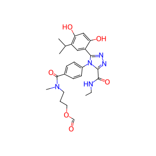 CCNC(=O)c1nnc(-c2cc(C(C)C)c(O)cc2O)n1-c1ccc(C(=O)N(C)CCCOC=O)cc1